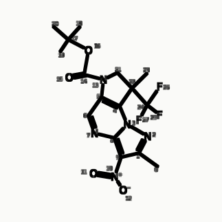 Cc1nn2c3c(cnc2c1[N+](=O)[O-])N(C(=O)OC(C)(C)C)CC3(C)C(F)(F)F